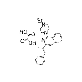 CCN1CCN(c2nc(C(C)=Cc3ccccc3)cc3ccccc23)CC1.O=C(O)C(=O)O